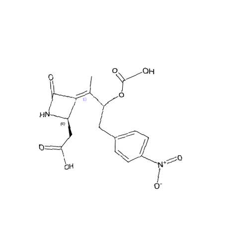 C/C(=C1\C(=O)N[C@@H]1CC(=O)O)C(Cc1ccc([N+](=O)[O-])cc1)OC(=O)O